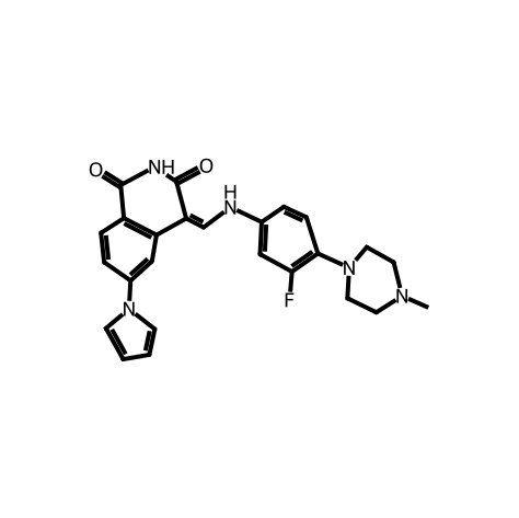 CN1CCN(c2ccc(NC=C3C(=O)NC(=O)c4ccc(-n5cccc5)cc43)cc2F)CC1